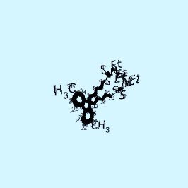 CCN(CC)C(=S)SCCCCCC1(CCCCCSC(=S)N(CC)CC)c2cc(C)ccc2-c2ccc(C)cc21